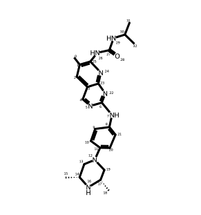 Cc1cc2cnc(Nc3ccc(N4C[C@@H](C)N[C@@H](C)C4)cc3)nc2nc1NC(=O)NC(C)C